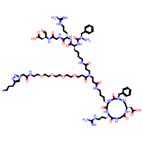 N=C(N)NCCC[C@H](NC(=O)[C@H](CCCCNC(=O)CCN(CCC(=O)NCCCC[C@@H]1NC(=O)N(Cc2ccccc2)NC[C@H](CC(=O)O)NC(=O)CNC(=O)[C@H](CCCNC(=N)N)NC1=O)C(=O)CCOCCOCCOCCOCCNC(=O)Cn1cc(CCCI)nn1)NC(=O)N(N)Cc1ccccc1)C(=O)NCC(=O)N[C@H](C=O)CC(=O)O